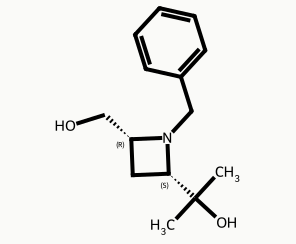 CC(C)(O)[C@@H]1C[C@H](CO)N1Cc1ccccc1